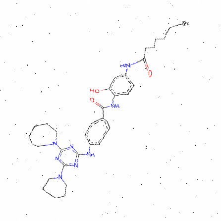 CC(C)CCCCCC(=O)Nc1ccc(NC(=O)c2ccc(Nc3nc(N4CCCCC4)nc(N4CCCCC4)n3)cc2)c(O)c1